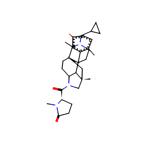 CCc1ccc(O)cc1C12CCN(CC3CC3)C(C)C13CCC1C2[C@@H](CN1C(=O)[C@H]1CCC(=O)N1C)C3